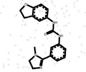 CN1CCN=C1c1cccc(NC(=O)Nc2ccc3c(c2)CCO3)c1